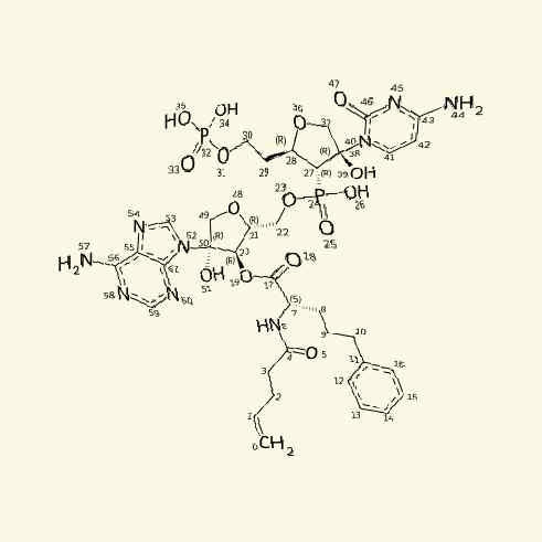 C=CCCC(=O)N[C@@H](CCCc1ccccc1)C(=O)O[C@@H]1[C@@H](COP(=O)(O)[C@@H]2[C@@H](CCOP(=O)(O)O)OC[C@]2(O)n2ccc(N)nc2=O)OC[C@]1(O)n1cnc2c(N)ncnc21